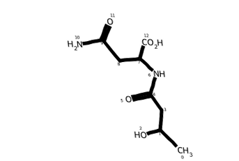 CC(O)CC(=O)NC(CC(N)=O)C(=O)O